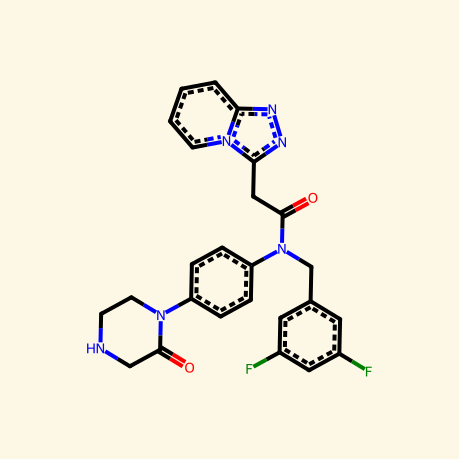 O=C1CNCCN1c1ccc(N(Cc2cc(F)cc(F)c2)C(=O)Cc2nnc3ccccn23)cc1